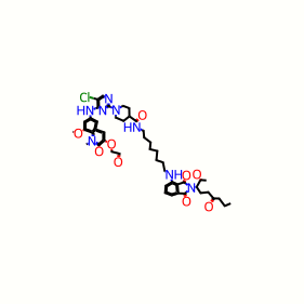 CCCC(=O)CCC(C(C)=O)N1C(=O)c2cccc(NCCCCCCCCNC(=O)C3CCN(c4ncc(Cl)c(Nc5cc(OC)c6c(c5)cc(OCC=O)c(=O)n6C)n4)CC3)c2C1=O